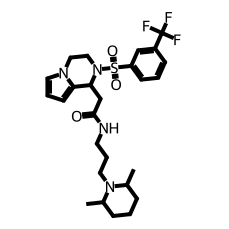 CC1CCCC(C)N1CCCNC(=O)CC1c2cccn2CCN1S(=O)(=O)c1cccc(C(F)(F)F)c1